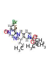 CCCCc1nc2c[n+]([O-])c3cc(Br)sc3c2n1CC1CCN(C(=O)OC(C)(C)C)CC1